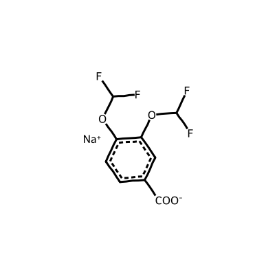 O=C([O-])c1ccc(OC(F)F)c(OC(F)F)c1.[Na+]